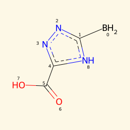 Bc1nnc(C(=O)O)[nH]1